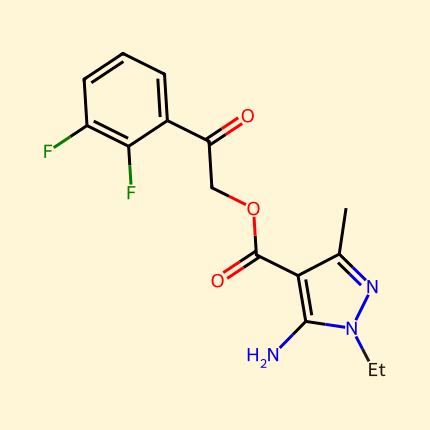 CCn1nc(C)c(C(=O)OCC(=O)c2cccc(F)c2F)c1N